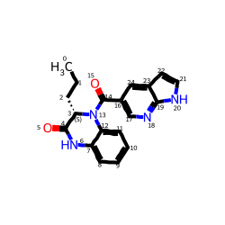 CCC[C@H]1C(=O)Nc2ccccc2N1C(=O)c1cnc2[nH]ccc2c1